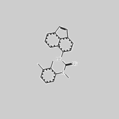 Cc1cccc(N(C)C(=N)Nc2ccc3c4c(cccc24)C=C3)c1C